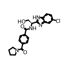 O=C(N[C@@H](CO)c1nc2cc(Cl)ccc2[nH]1)c1ccc(C(=O)N2CCCC2)cc1